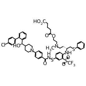 CN(CCOC(=O)CCCC(=O)O)CC[C@H](CSc1ccccc1)Nc1ccc(SNC(=O)c2ccc(N3CCC([C@@H](O)c4ccccc4-c4ccc(Cl)cc4)CC3)cc2)cc1S(=O)(=O)C(F)(F)F